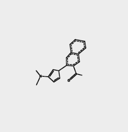 CC(=O)c1cc2ccccc2cc1C1C=CC(N(C)C)=C1